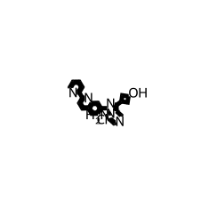 N[N+]12C=CN=CC1=C(C1CC(O)C1)N=C2c1cc2nc(-c3ccccn3)ccc2cc1Cl